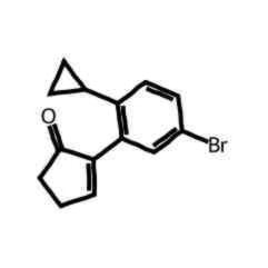 O=C1CCC=C1c1cc(Br)ccc1C1CC1